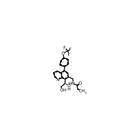 C=CC(=O)NCc1cc(-c2ccc(OC(F)(F)F)cc2)c2cccnc2c1[C@@H](O)CO